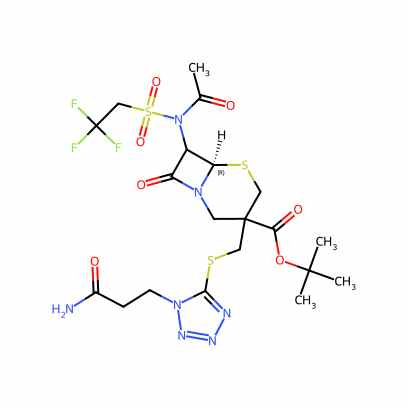 CC(=O)N(C1C(=O)N2CC(CSc3nnnn3CCC(N)=O)(C(=O)OC(C)(C)C)CS[C@H]12)S(=O)(=O)CC(F)(F)F